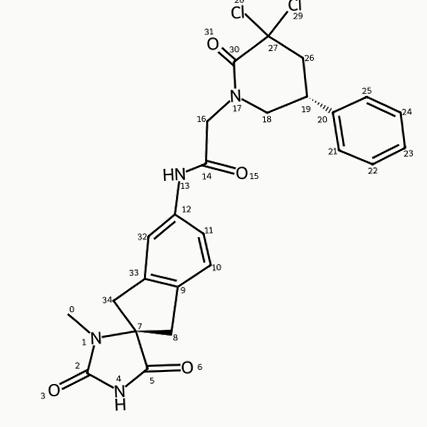 CN1C(=O)NC(=O)[C@]12Cc1ccc(NC(=O)CN3C[C@@H](c4ccccc4)CC(Cl)(Cl)C3=O)cc1C2